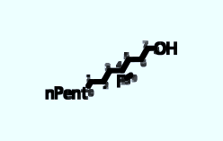 CCCCCCCCCCCCO.CF